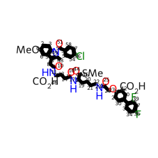 COc1ccc2c(c1)c(CC(=O)NC(CCC(=O)NC(CCCCNC(=O)COC1CC=C(c3ccc(F)cc3F)CC1C(=O)O)C(=O)SC)C(=O)O)c(C)n2C(=O)c1ccc(Cl)cc1